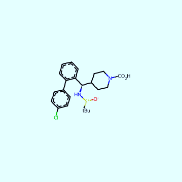 CC(C)(C)[S@+]([O-])N[C@@H](c1ccccc1-c1ccc(Cl)cc1)C1CCN(C(=O)O)CC1